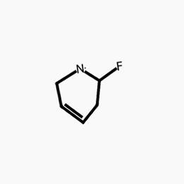 FC1CC=CC[N]1